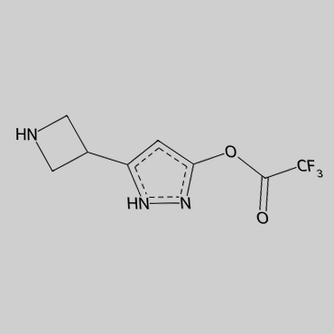 O=C(Oc1cc(C2CNC2)[nH]n1)C(F)(F)F